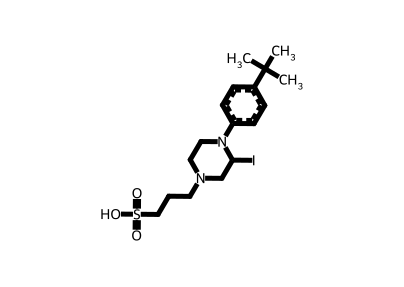 CC(C)(C)c1ccc(N2CCN(CCCS(=O)(=O)O)CC2I)cc1